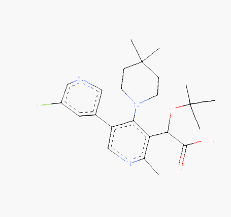 Cc1ncc(-c2cncc(F)c2)c(N2CCC(C)(C)CC2)c1C(OC(C)(C)C)C(=O)O